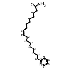 NC(=O)CCCCCCC/C=C\CCCCCCCCc1ccccn1